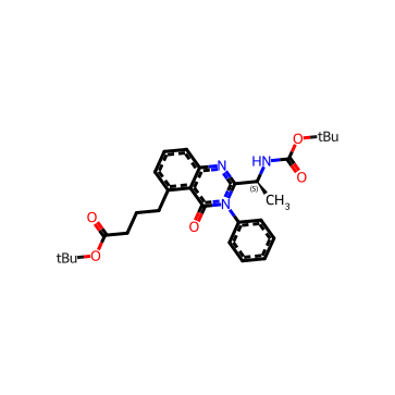 C[C@H](NC(=O)OC(C)(C)C)c1nc2cccc(CCCC(=O)OC(C)(C)C)c2c(=O)n1-c1ccccc1